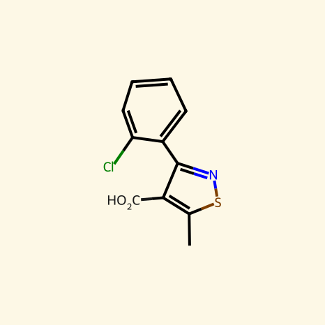 Cc1snc(-c2ccccc2Cl)c1C(=O)O